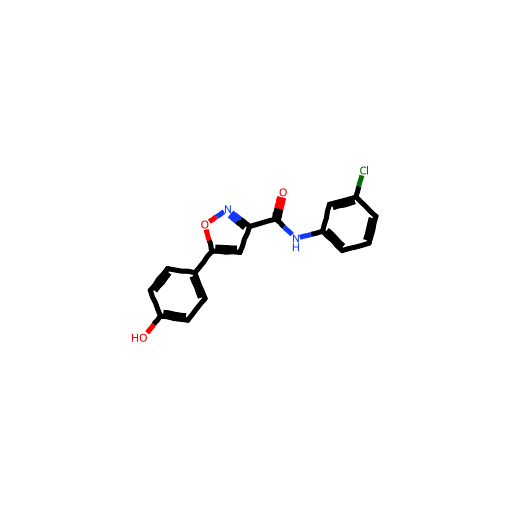 O=C(Nc1cccc(Cl)c1)c1cc(-c2ccc(O)cc2)on1